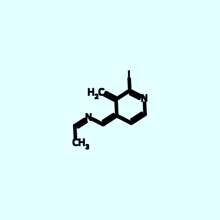 C=c1c(I)ncc/c1=C/N=C\C